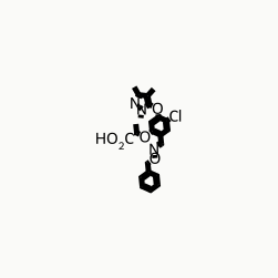 Cc1nn(C)c(Oc2cc(O[C@@H](C)C(=O)O)c(C=NOCc3ccccc3)cc2Cl)c1C